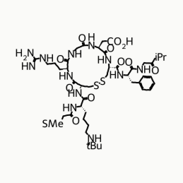 CSCC(=O)N[C@@H](CCCCNC(C)(C)C)C(=O)N[C@H]1CSSC[C@@H](C(=O)N[C@@H](Cc2ccccc2)C(=O)NCC(=O)C(C)C)NC(=O)[C@H](CC(=O)O)NC(=O)CNC(=O)[C@H](CCCNC(=N)N)NC1=O